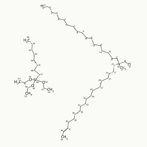 CCCCCCCCCCCCCCCCCC[N+](C)(CCl)CCCCCCCCCCCCCCCCCC.CCCCCCCC[Si](OCC)(OCC)OCC